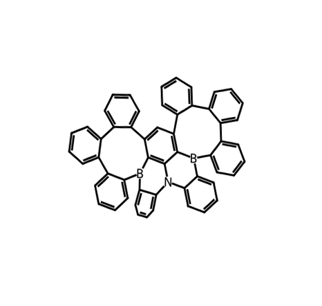 c1ccc2c(c1)B1c3ccccc3N3c4ccccc4B4c5ccccc5-c5ccccc5-c5ccccc5-c5cc(c1c3c54)-c1ccccc1-c1ccccc1-2